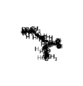 Cn1cc(NC(=O)c2nccn2C)cc1C(=O)NCCC(=O)Nc1cn(C)c(C(=O)NCC[C@H](NC(=O)OCC2c3ccccc3-c3ccccc32)C(=O)Nc2cc(C(=O)Nc3cn(C)c(C(=O)O)n3)n(C)c2)n1